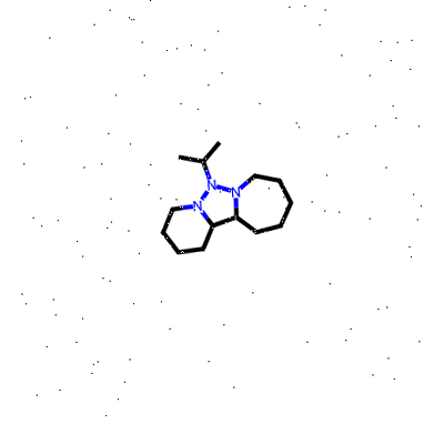 CC(C)N1N2CCCCCC2C2CCCCN21